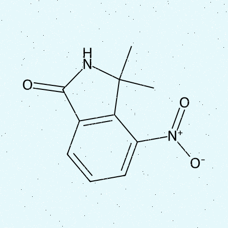 CC1(C)NC(=O)c2cccc([N+](=O)[O-])c21